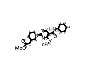 CCCSc1nc(N2CCCC(CC(=O)OC)C2)ncc1C(=O)NC1CCCCC1